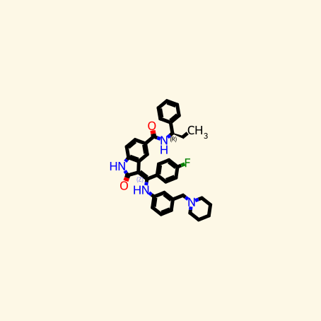 CC[C@@H](NC(=O)c1ccc2c(c1)/C(=C(/Nc1cccc(CN3CCCCC3)c1)c1ccc(F)cc1)C(=O)N2)c1ccccc1